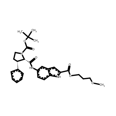 COCCCOC(=O)c1cc2cc(NC(=O)[C@@H]3[C@H](c4ccccc4)CCN3C(=O)OC(C)(C)C)ccc2[nH]1